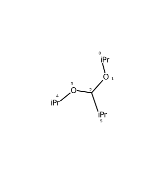 CC(C)OC(OC(C)C)C(C)C